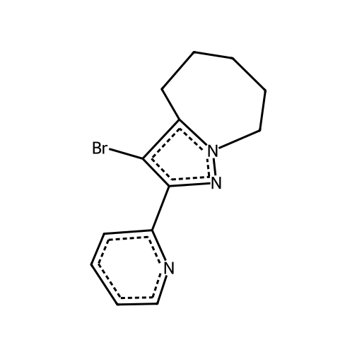 Brc1c(-c2ccccn2)nn2c1CCCCC2